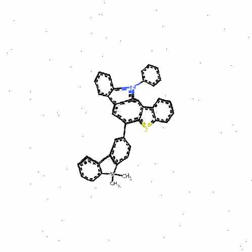 C[Si]1(C)c2ccccc2-c2cc(-c3cc4c5ccccc5n(-c5ccccc5)c4c4c3sc3ccccc34)ccc21